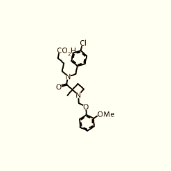 COc1ccccc1OCN1CCC1(C)C(=O)N(CCCC(=O)O)Cc1ccc(Cl)cc1